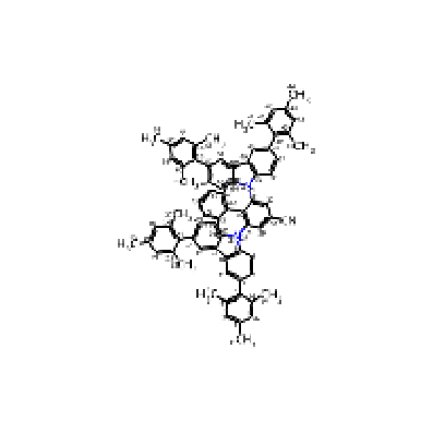 Cc1cc(C)c(-c2ccc3c(c2)c2cc(-c4c(C)cc(C)cc4C)ccc2n3-c2cc(C#N)cc(-n3c4ccc(-c5c(C)cc(C)cc5C)cc4c4cc(-c5c(C)cc(C)cc5C)ccc43)c2-c2c(C(F)(F)F)cccc2C(F)(F)F)c(C)c1